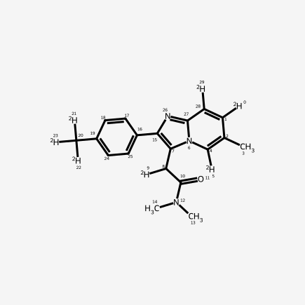 [2H]c1c(C)c([2H])n2c(C([2H])C(=O)N(C)C)c(-c3ccc(C([2H])([2H])[2H])cc3)nc2c1[2H]